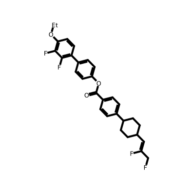 CCOc1ccc(-c2ccc(OC(=O)c3ccc(C4CCC(/C=C(\F)CF)CC4)cc3)cc2)c(F)c1F